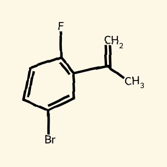 C=C(C)c1cc(Br)ccc1F